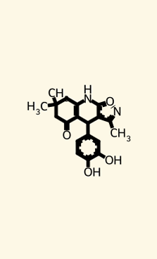 Cc1noc2c1C(c1ccc(O)c(O)c1)C1=C(CC(C)(C)CC1=O)N2